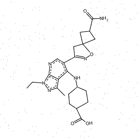 CCn1nc(C)c2c(NC3CCC(C(=O)O)CC3)c(C3=NOC4(C3)CC(C(N)=O)C4)cnc21